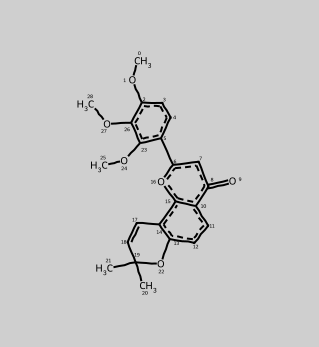 COc1ccc(-c2cc(=O)c3ccc4c(c3o2)C=CC(C)(C)O4)c(OC)c1OC